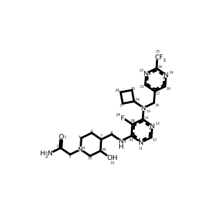 NC(=O)CN1CCC(CNc2ncnc(N(Cc3cnc(C(F)(F)F)nc3)C3CCC3)c2F)C(O)C1